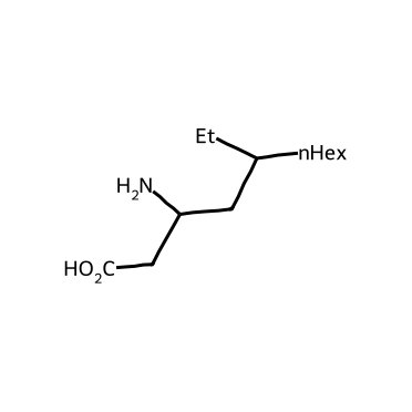 CCCCCCC(CC)CC(N)CC(=O)O